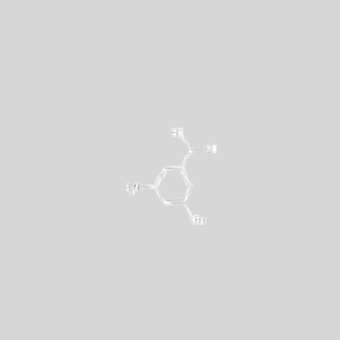 CC(C)(C)c1cc(N)cc(B(O)O)c1